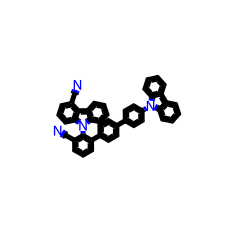 N#Cc1cccc(-c2ccc(-c3ccc(-n4c5ccccc5c5ccccc54)cc3)cc2)c1-n1c2ccccc2c2c(C#N)cccc21